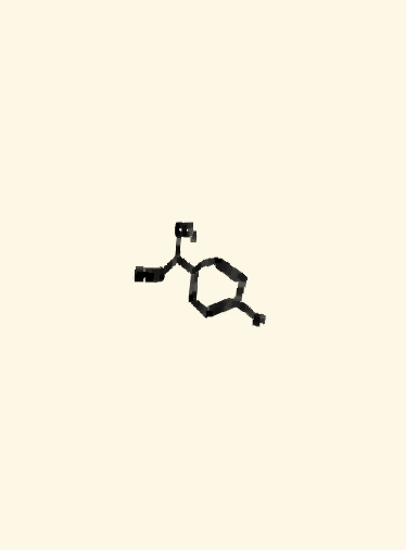 OC(c1ccc(F)cc1)C(Cl)(Cl)Cl